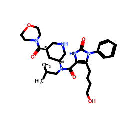 CC(C)CN(C(=O)c1[nH]c(=O)n(-c2ccccc2)c1CCCCO)[C@@H]1CNC[C@H](C(=O)N2CCOCC2)C1